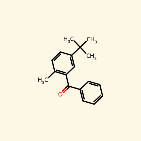 Cc1ccc(C(C)(C)C)cc1C(=O)c1ccccc1